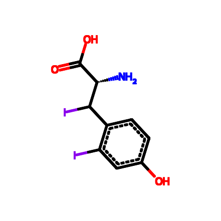 N[C@@H](C(=O)O)C(I)c1ccc(O)cc1I